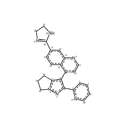 c1ccc(-c2nn3c(c2-c2ccnc4cc(C5=NCCN5)ccc24)CCC3)nc1